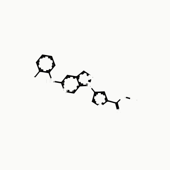 CC(C)(C)OC(=O)c1cc(-n2ncc3cc(Nc4ccccc4Cl)ncc32)cs1